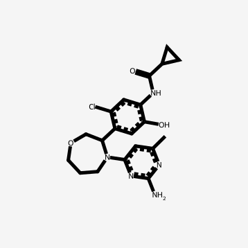 Cc1cc(N2CCCOCC2c2cc(O)c(NC(=O)C3CC3)cc2Cl)nc(N)n1